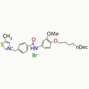 CCCCCCCCCCCCCCOc1ccc(NC(=O)c2ccc(C[n+]3csc(C)c3)cc2)cc1OC.[Br-]